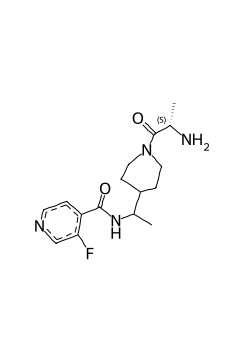 CC(NC(=O)c1ccncc1F)C1CCN(C(=O)[C@H](C)N)CC1